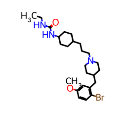 CCNC(=O)NC1CCC(CCCN2CCC(Cc3cc(OC)ccc3Br)CC2)CC1